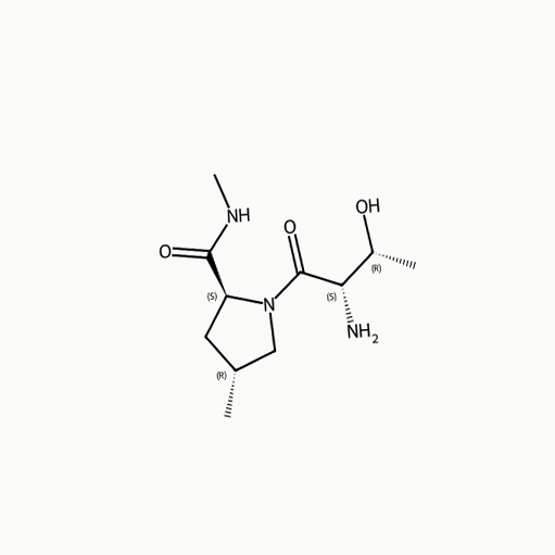 CNC(=O)[C@@H]1C[C@@H](C)CN1C(=O)[C@@H](N)[C@@H](C)O